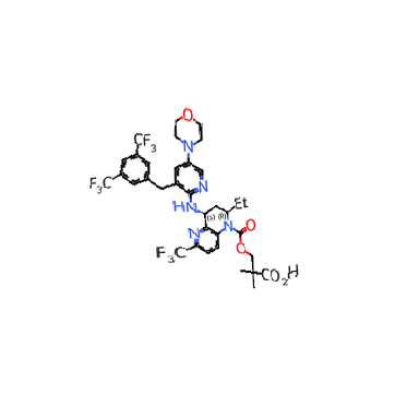 CC[C@@H]1C[C@H](Nc2ncc(N3CCOCC3)cc2Cc2cc(C(F)(F)F)cc(C(F)(F)F)c2)c2nc(C(F)(F)F)ccc2N1C(=O)OCC(C)(C)C(=O)O